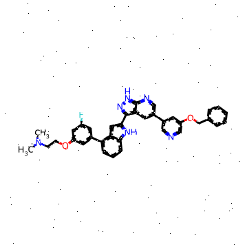 CN(C)CCOc1cc(F)cc(-c2cccc3[nH]c(-c4n[nH]c5ncc(-c6cncc(OCc7ccccc7)c6)cc45)cc23)c1